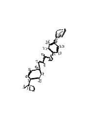 CC(=O)c1ccc(CCCSc2ccc(Cl)cc2)cc1